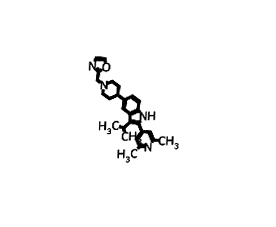 Cc1cc(-c2[nH]c3ccc(C4CCN(Cc5ncco5)CC4)cc3c2C(C)C)cc(C)n1